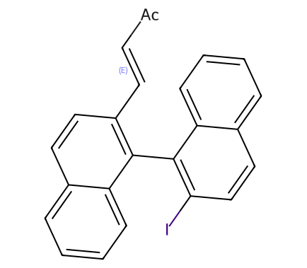 CC(=O)/C=C/c1ccc2ccccc2c1-c1c(I)ccc2ccccc12